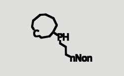 CCCCCCCCCCCCPC1CCCCCCCCC1